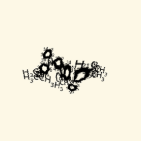 CC1(C)c2cc(N(c3ccccc3)c3ccc([Si](C)(C)C)cc3)ccc2-c2ccc(N(c3ccccc3)c3ccc([Si](C)(C)C)cc3)cc21